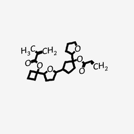 C=CC(=O)OC1(C2CCCO2)CCC(C2CCC(C3(OC(=O)C(=C)C)CCC3)O2)C1